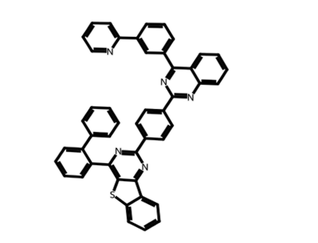 c1ccc(-c2ccccc2-c2nc(-c3ccc(-c4nc(-c5cccc(-c6ccccn6)c5)c5ccccc5n4)cc3)nc3c2sc2ccccc23)cc1